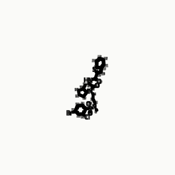 CN(CCCNC(=O)[C@H](CC1CCCC1)NC(=O)c1cc2ccccc2s1)S(=O)(=O)c1ccc(Br)cc1Cl